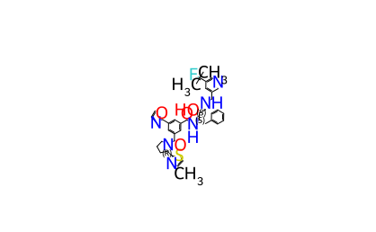 Cc1csc([C@H]2CCCN2C(=O)c2cc(C(=O)N[C@@H](Cc3ccccc3)[C@@H](O)CNCc3cncc(C(C)(C)F)c3)cc(-c3ncco3)c2)n1